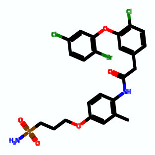 Cc1cc(OCCCS(N)(=O)=O)ccc1NC(=O)Cc1ccc(Cl)c(Oc2cc(Cl)ccc2Br)c1